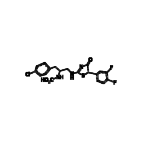 O=C(O)NC(CNC1=NC(=O)C(c2ccc(F)c(F)c2)S1)Cc1ccc(Cl)cc1